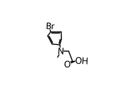 CN(CC(=O)O)c1ccc(Br)cc1